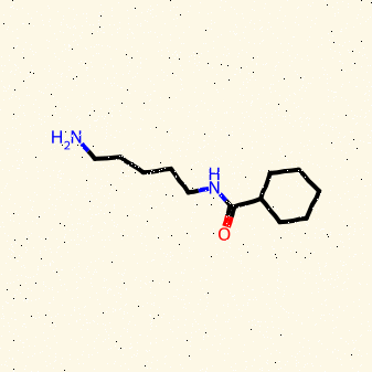 NCCCCCNC(=O)C1CCCCC1